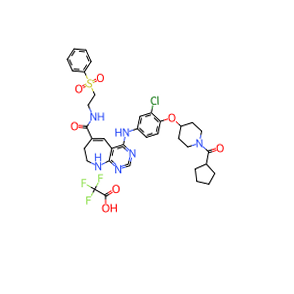 O=C(NCCS(=O)(=O)c1ccccc1)C1=Cc2c(ncnc2Nc2ccc(OC3CCN(C(=O)C4CCCC4)CC3)c(Cl)c2)NCC1.O=C(O)C(F)(F)F